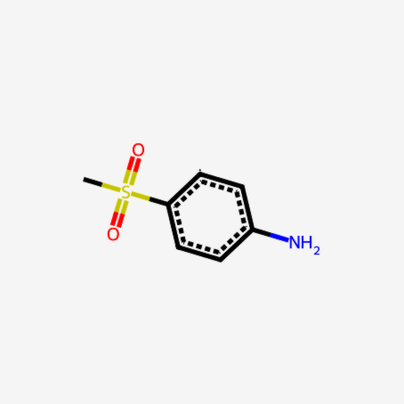 CS(=O)(=O)c1[c]cc(N)cc1